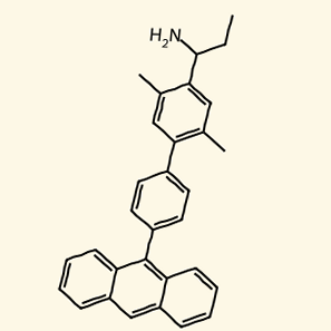 CCC(N)c1cc(C)c(-c2ccc(-c3c4ccccc4cc4ccccc34)cc2)cc1C